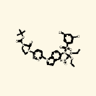 CCOC(OCC)([PH2]=O)N(c1ccc2c(ccn2-c2ccc(N3CCN(C(=O)OC(C)(C)C)C3=O)nn2)c1)S(=O)(=O)c1cc(Cl)cc(Cl)c1